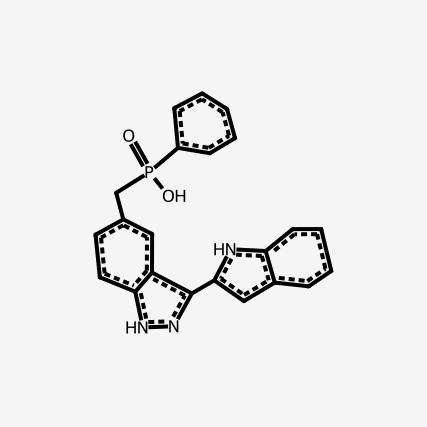 O=P(O)(Cc1ccc2[nH]nc(-c3cc4ccccc4[nH]3)c2c1)c1ccccc1